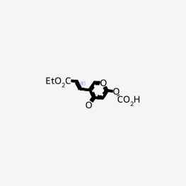 CCOC(=O)/C=C/c1coc(OC(=O)O)cc1=O